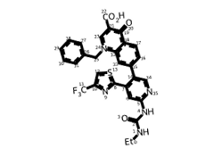 CCNC(=O)Nc1cc(-c2nc(C(F)(F)F)cs2)c(-c2ccc3c(=O)c(C(=O)O)cn(Cc4ccccc4)c3c2)cn1